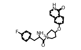 NC(Cc1ccc(F)cc1)C(=O)N1CCC(Oc2ccc3c(=O)[nH]ccc3c2)CC1